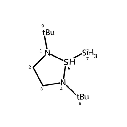 CC(C)(C)N1CCN(C(C)(C)C)[SiH]1[SiH3]